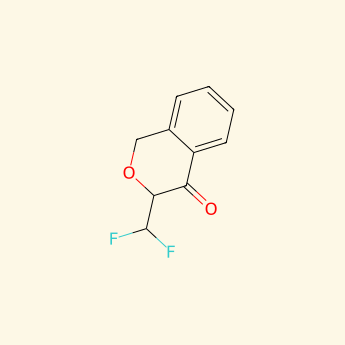 O=C1c2ccccc2COC1C(F)F